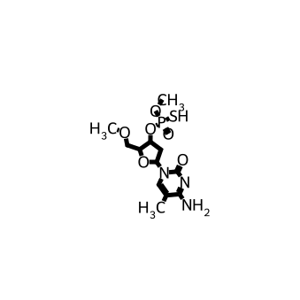 COCC1OC(n2cc(C)c(N)nc2=O)CC1OP(=O)(S)OC